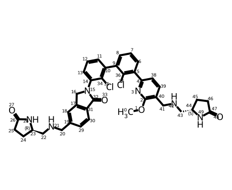 COc1nc(-c2cccc(-c3cccc(N4Cc5cc(CNC[C@H]6CCC(=O)N6)ccc5C4=O)c3Cl)c2Cl)ccc1CNC[C@@H]1CCC(=O)N1